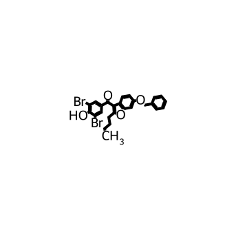 CCCCc1oc2cc(OCc3ccccc3)ccc2c1C(=O)c1cc(Br)c(O)c(Br)c1